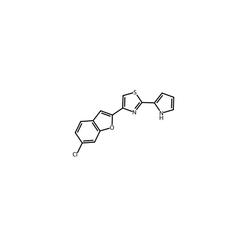 Clc1ccc2cc(-c3csc(-c4ccc[nH]4)n3)oc2c1